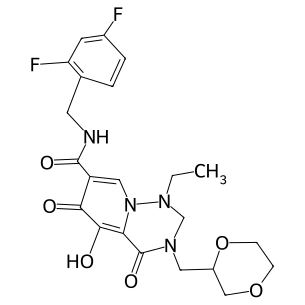 CCN1CN(CC2COCCO2)C(=O)c2c(O)c(=O)c(C(=O)NCc3ccc(F)cc3F)cn21